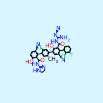 Cc1cc(-c2c(C#N)ccc(O)c2C(=O)NC2=NCCN2)c(Cl)cc1-c1cc(C#N)c(-c2cccc(F)c2Cl)c(C(=O)N/C(N)=N/C#N)c1O